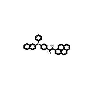 [2H]/C(=C(/[2H])c1ccc2ccc3cccc4ccc1c2c34)c1ccc(N(c2ccccc2)c2ccc3ccccc3c2)cc1